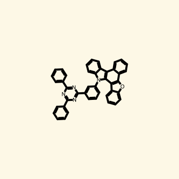 c1ccc(-c2nc(-c3ccccc3)nc(-c3cccc(-n4c5ccccc5c5c6ccccc6c6oc7ccccc7c6c54)c3)n2)cc1